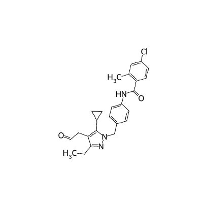 CCc1nn(Cc2ccc(NC(=O)c3ccc(Cl)cc3C)cc2)c(C2CC2)c1CC=O